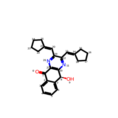 O=C1c2ccccc2[C@H](O)c2nc(C=C3CCCC3)c(C=C3CCCC3)nc21